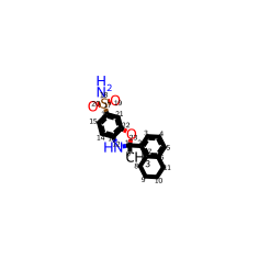 CC1(c2cccc3c2CCCC3)Nc2ccc(S(N)(=O)=O)cc2O1